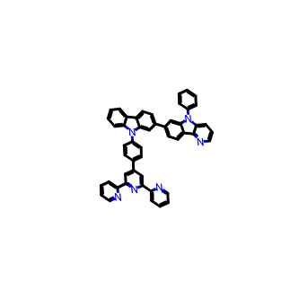 c1ccc(-n2c3cc(-c4ccc5c6ccccc6n(-c6ccc(-c7cc(-c8ccccn8)nc(-c8ccccn8)c7)cc6)c5c4)ccc3c3ncccc32)cc1